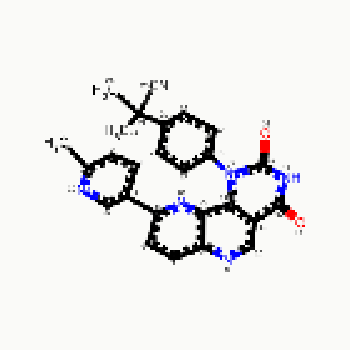 Cc1ccc(-c2ccc3ncc4c(=O)[nH]c(=O)n(-c5ccc(C(C)(C)C#N)cc5)c4c3n2)cn1